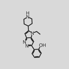 CCn1c(C2CCNCC2)cc2nnc(-c3ccccc3O)cc21